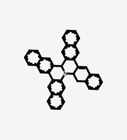 C1=C2c3cc4ccccc4cc3C3c4cc5ccccc5cc4-c4cc5ccccc5cc4N3C2Cc2ccccc21